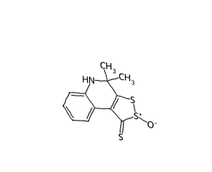 CC1(C)Nc2ccccc2-c2c1s[s+]([O-])c2=S